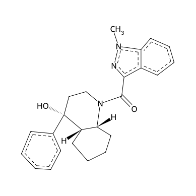 Cn1nc(C(=O)N2CC[C@](O)(c3ccccc3)[C@H]3CCCC[C@H]32)c2ccccc21